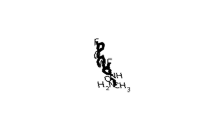 C/C(N)=C/C(=O)Nc1ccc(N2CCC(Oc3cccc(F)c3)CC2)c(F)c1